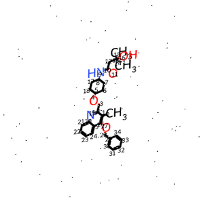 Cc1c(CO[C@H]2CC[C@H](NC(=O)CC(C)(C)O)CC2)nc2ccccc2c1OCc1ccccc1